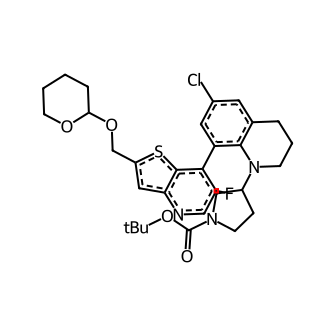 CC(C)(C)OC(=O)N1CCC(N2CCCc3cc(Cl)cc(-c4c(F)cnc5cc(COC6CCCCO6)sc45)c32)C1